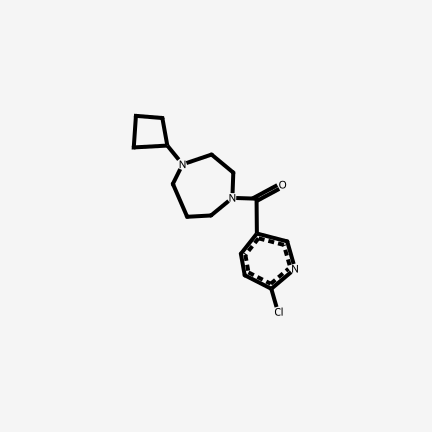 O=C(c1ccc(Cl)nc1)N1CCCN(C2CCC2)CC1